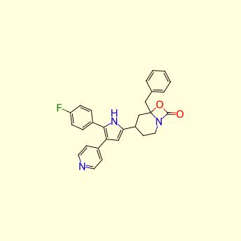 O=C1OC2(Cc3ccccc3)CC(c3cc(-c4ccncc4)c(-c4ccc(F)cc4)[nH]3)CCN12